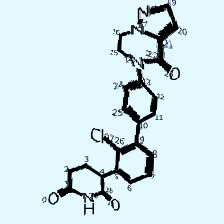 O=C1CCC(c2cccc(-c3ccc(N4CCn5nccc5C4=O)cc3)c2Cl)C(=O)N1